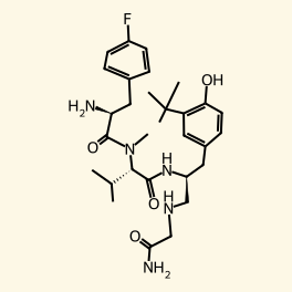 CC(C)[C@@H](C(=O)N[C@H](CNCC(N)=O)Cc1ccc(O)c(C(C)(C)C)c1)N(C)C(=O)[C@@H](N)Cc1ccc(F)cc1